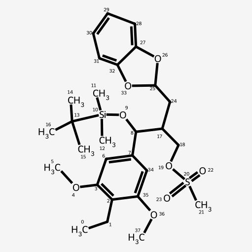 CCc1c(OC)cc(C(O[Si](C)(C)C(C)(C)C)C(COS(C)(=O)=O)CC2Oc3ccccc3O2)cc1OC